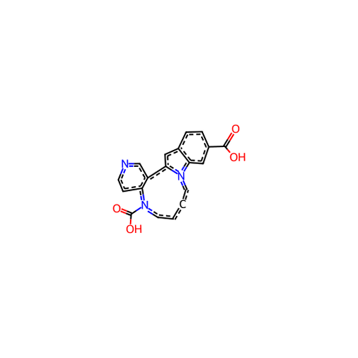 O=C(O)c1ccc2cc3c4cnccc4n(C(=O)O)ccccn3c2c1